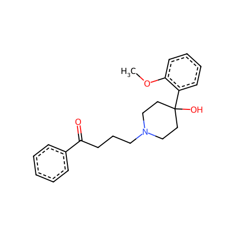 COc1ccccc1C1(O)CCN(CCCC(=O)c2ccccc2)CC1